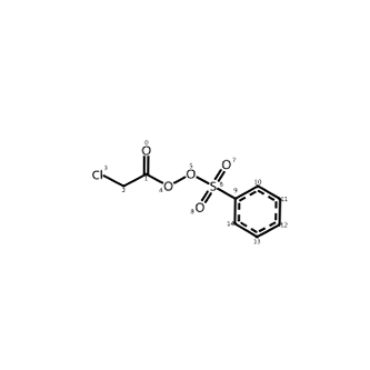 O=C(CCl)OOS(=O)(=O)c1ccccc1